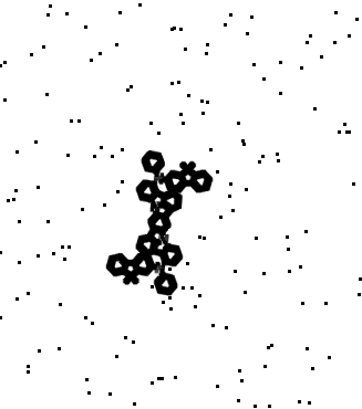 CC1(C)c2ccccc2-c2ccc(N(c3ccccc3)c3cccc4c3c3cccc5c6cc7c(cc6n4c53)c3cccc4c5c(N(c6ccccc6)c6ccc8c(c6)C(C)(C)c6ccccc6-8)cccc5n7c34)cc21